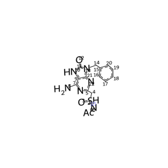 CC(=O)/N=[SH](=O)/Cc1nc(N)c2[nH]c(=O)n(Cc3ccccc3)c2n1